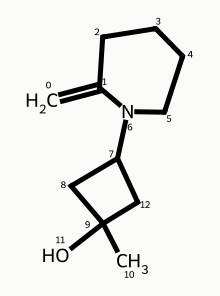 C=C1CCCCN1C1CC(C)(O)C1